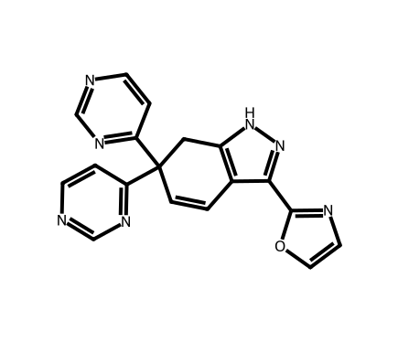 C1=CC(c2ccncn2)(c2ccncn2)Cc2[nH]nc(-c3ncco3)c21